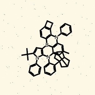 Cc1cc2c3c(c1)N(c1ccccc1C14CC5CC1CC5C4)c1c(cc(C(C)(C)C)n1-c1ccccc1)B3c1ccc3c(c1N2c1ccccc1)CC3